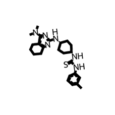 Cc1cccc(NC(=S)N[C@H]2CC[C@@H](Nc3nc4c(c(N(C)C)n3)CCCC4)CC2)c1